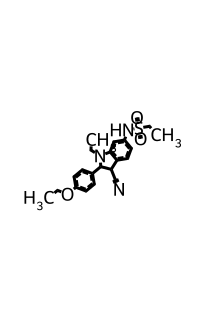 CCOc1ccc(C2C(C#N)c3ccc(NS(=O)(=O)CC)cc3N2CC)cc1